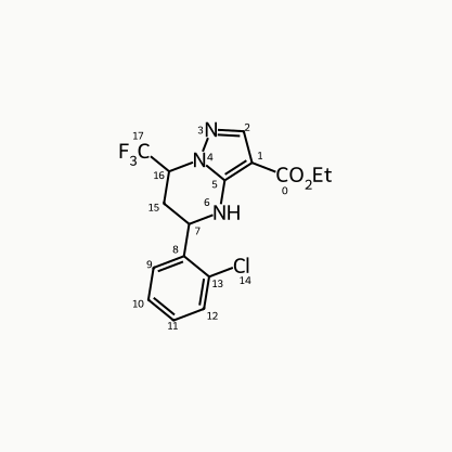 CCOC(=O)c1cnn2c1NC(c1ccccc1Cl)CC2C(F)(F)F